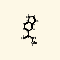 CC(=O)ONC(=N)c1ccc2[nH]ccc2c1